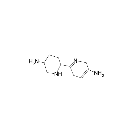 NC1=CCC(C2CCC(N)CN2)=NC1